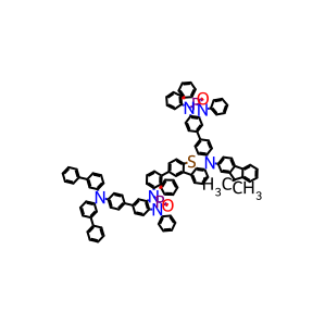 CC1(C)c2ccccc2-c2ccc(N(c3ccc(-c4ccc5c(c4)N(c4ccccc4)P(=O)(c4ccccc4)N5c4ccccc4)cc3)c3cccc4c3sc3ccc(-c5cccc(N6c7cc(-c8ccc(N(c9cccc(-c%10ccccc%10)c9)c9cccc(-c%10ccccc%10)c9)cc8)ccc7N(c7ccccc7)P6(=O)c6ccccc6)c5)cc34)cc21